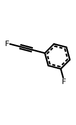 FC#Cc1cccc(F)c1